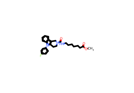 COC(=O)CCCCCCNC(=O)N1CCc2c(c3ccccc3n2-c2ccc(F)cc2)C1